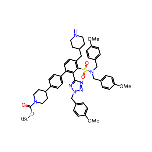 COc1ccc(CN(Cc2ccc(OC)cc2)S(=O)(=O)c2c(CC3CCNCC3)ccc(-c3ccc(C4CCN(C(=O)OC(C)(C)C)CC4)cc3)c2-c2nnn(Cc3ccc(OC)cc3)n2)cc1